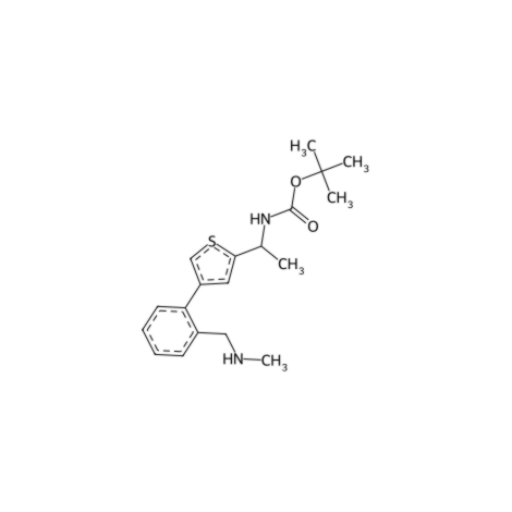 CNCc1ccccc1-c1csc(C(C)NC(=O)OC(C)(C)C)c1